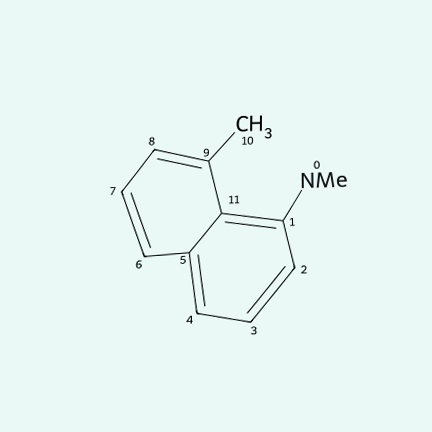 CNc1cccc2cccc(C)c12